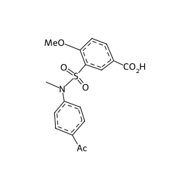 COc1ccc(C(=O)O)cc1S(=O)(=O)N(C)c1ccc(C(C)=O)cc1